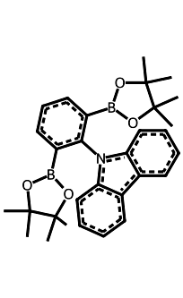 CC1(C)OB(c2cccc(B3OC(C)(C)C(C)(C)O3)c2-n2c3ccccc3c3ccccc32)OC1(C)C